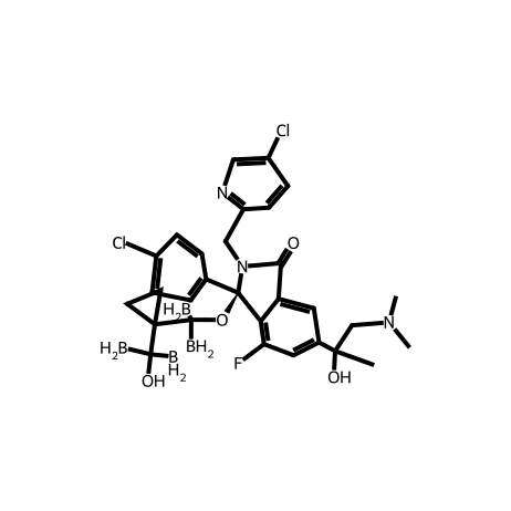 BC(B)(O)C1(C(B)(B)O[C@]2(c3ccc(Cl)cc3)c3c(F)cc(C(C)(O)CN(C)C)cc3C(=O)N2Cc2ccc(Cl)cn2)CC1